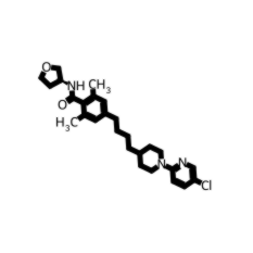 Cc1cc(CCCCC2CCN(c3ccc(Cl)cn3)CC2)cc(C)c1C(=O)N[C@H]1CCOC1